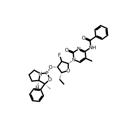 CC[C@H]1O[C@@H](n2cc(C)c(NC(=O)c3ccccc3)nc2=O)C(F)[C@H]1O[P@]1O[C@@](C)(c2ccccc2)[C@H]2CCCN21